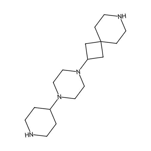 C1CC(N2CCN(C3CC4(CCNCC4)C3)CC2)CCN1